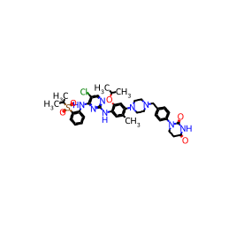 Cc1cc(Nc2ncc(Cl)c(Nc3ccccc3S(=O)(=O)C(C)C)n2)c(OC(C)C)cc1N1CCN(Cc2ccc(N3CCC(=O)NC3=O)cc2)CC1